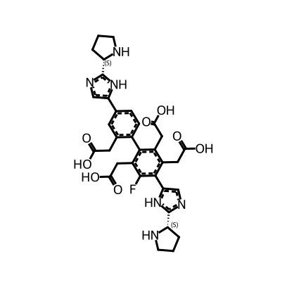 O=C(O)Cc1cc(-c2cnc([C@@H]3CCCN3)[nH]2)ccc1-c1c(CC(=O)O)c(F)c(-c2cnc([C@@H]3CCCN3)[nH]2)c(CC(=O)O)c1CC(=O)O